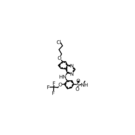 CNS(=O)(=O)c1ccc(OCC(F)(F)F)c(Nc2ncnc3cc(OCCCCl)ccc23)c1